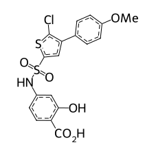 COc1ccc(-c2cc(S(=O)(=O)Nc3ccc(C(=O)O)c(O)c3)sc2Cl)cc1